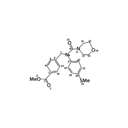 COC(=O)c1ccc(CN(C(=O)N2CCOCC2)c2ccc(SC)cc2)cc1